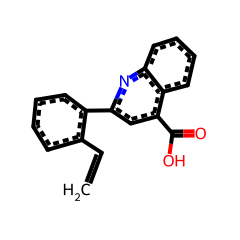 C=Cc1ccccc1-c1cc(C(=O)O)c2ccccc2n1